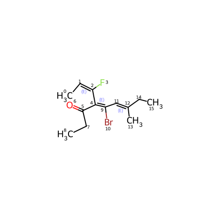 C\C=C(F)/C(C(=O)CC)=C(Br)\C=C(/C)CC